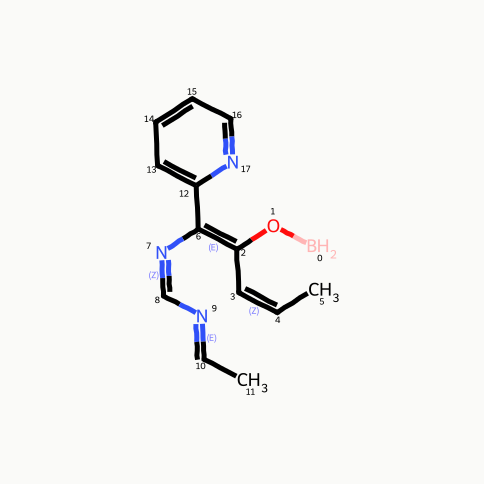 BOC(/C=C\C)=C(/N=C\N=C\C)c1ccccn1